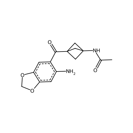 CC(=O)NC12CC(C(=O)c3cc4c(cc3N)OCO4)(C1)C2